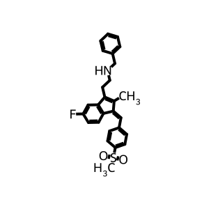 CC1=C(CCNCc2ccccc2)c2cc(F)ccc2/C1=C\c1ccc(S(C)(=O)=O)cc1